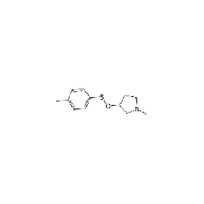 Cc1ccc(SOC2CCN(C)C2)cc1